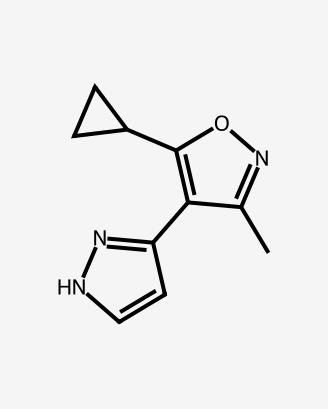 Cc1noc(C2CC2)c1-c1cc[nH]n1